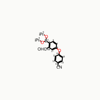 CC(C)OB(OC(C)C)c1ccc(Oc2ccc(C#N)cc2)cc1C=O